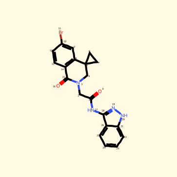 O=C(CN1CC2(CC2)c2cc(Br)ccc2C1=O)Nc1n[nH]c2ccccc12